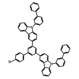 Brc1ccc(-c2cc(-c3ccc4c(c3)c3ccccc3n4-c3cccc(-c4ccccc4)c3)cc(-c3ccc4c(c3)c3ccccc3n4-c3cccc(-c4ccccc4)c3)c2)cc1